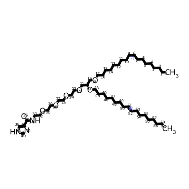 CCCCCCCC/C=C\CCCCCCCCOCC(COCCOCCOCCOCCNC(=O)c1c[nH]cn1)OCCCCCCCC/C=C/CCCCCCCC